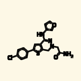 NC(=O)CN1Cc2sc(-c3ccc(Cl)cc3)cc2C(Nc2ccoc2)=N1